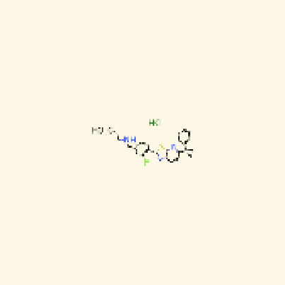 Cl.O=C(O)CCNCc1ccc(-c2nc3ccc(C4(c5ccccc5)CC4)nc3s2)c(F)c1